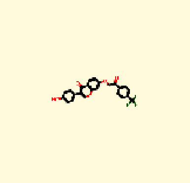 O=C(COc1ccc2c(=O)c(-c3ccc(O)cc3)coc2c1)c1ccc(C(F)(F)F)cc1